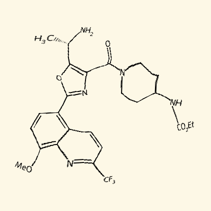 CCOC(=O)NC1CCN(C(=O)c2nc(-c3ccc(OC)c4nc(C(F)(F)F)ccc34)oc2[C@H](C)N)CC1